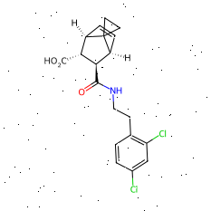 O=C(O)[C@H]1[C@H](C(=O)NCCc2ccc(Cl)cc2Cl)[C@@H]2C=C[C@H]1C21CC1